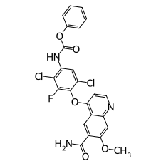 COc1cc2nccc(Oc3c(Cl)cc(NC(=O)Oc4ccccc4)c(Cl)c3F)c2cc1C(N)=O